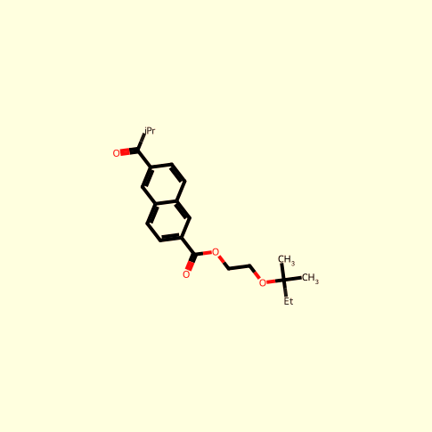 CCC(C)(C)OCCOC(=O)c1ccc2cc(C(=O)C(C)C)ccc2c1